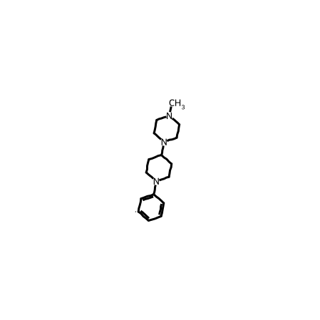 CN1CCN(C2CCN(c3c[c]ccc3)CC2)CC1